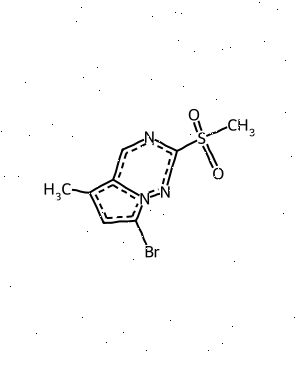 Cc1cc(Br)n2nc(S(C)(=O)=O)ncc12